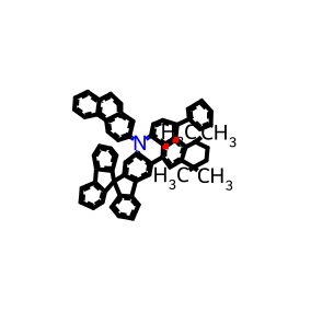 CC1(C)CCC(C)(C)c2cc(-c3cc4c(cc3N(c3ccc(-c5ccccc5)cc3)c3ccc5c(ccc6ccccc65)c3)C3(c5ccccc5-c5ccccc53)c3ccccc3-4)ccc21